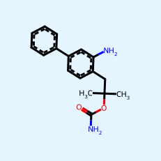 CC(C)(Cc1ccc(-c2ccccc2)cc1N)OC(N)=O